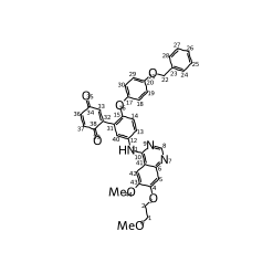 COCCOc1cc2ncnc(Nc3ccc(Oc4ccc(OCc5ccccc5)cc4)c(C4=CC(=O)C=CC4=O)c3)c2cc1OC